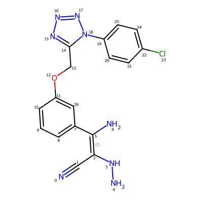 N#C/C(NN)=C(/N)c1cccc(OCc2nnnn2-c2ccc(Cl)cc2)c1